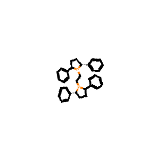 c1ccc(C2CC[C@H](c3ccccc3)P2CCP2C(c3ccccc3)CC[C@@H]2c2ccccc2)cc1